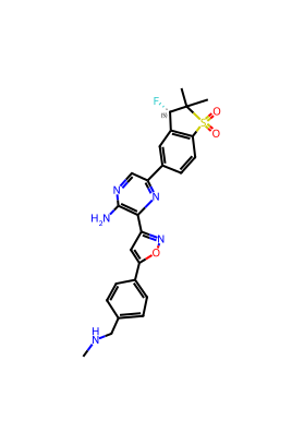 CNCc1ccc(-c2cc(-c3nc(-c4ccc5c(c4)[C@H](F)C(C)(C)S5(=O)=O)cnc3N)no2)cc1